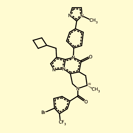 C[C@H]1Cc2c(n3ncc(CC4CCC4)c3n(-c3ccc(-c4nccn4C)cc3)c2=O)CN1C(=O)c1ccc(Br)c(C(F)(F)F)c1